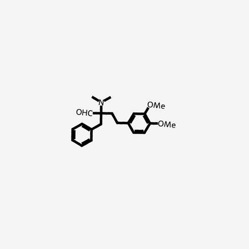 COc1ccc(CCC(C=O)(Cc2ccccc2)N(C)C)cc1OC